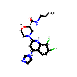 O=C(O)CCNC(=O)[C@@H]1CN(c2cc(-n3ccnc3)c3ccc(Cl)c(Cl)c3n2)CCO1